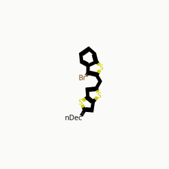 CCCCCCCCCCc1cc2sc(Cc3sc4ccccc4c3Br)cc2s1